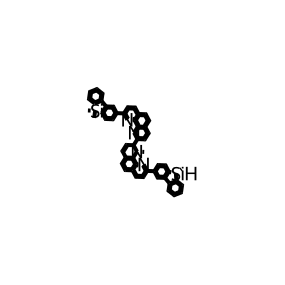 CN1c2c(ccc3ccc(-c4ccc5c(c4)-c4ccccc4[SiH]5C)nc23)C=CC1c1ccc2ccc3ccc(-c4ccc5c(c4)-c4ccccc4[Si]5(C)C)nc3c2n1